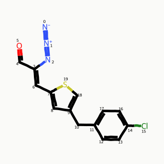 [N-]=[N+]=N/C(C=O)=C\c1cc(Cc2ccc(Cl)cc2)cs1